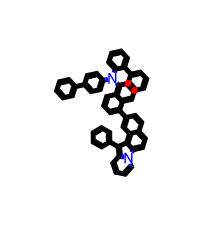 c1ccc(-c2ccc(N(c3ccccc3-c3ccccc3)c3cccc4c(-c5ccc6ccc7c(c(-c8ccccc8)c8ccccn87)c6c5)cccc34)cc2)cc1